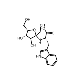 O=C(O)[C@H](Cc1c[nH]c2ccccc12)NC1(CO)O[C@H](CO)[C@@H](O)[C@@H]1O